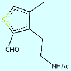 CC(=O)NCCc1c(C)csc1C=O